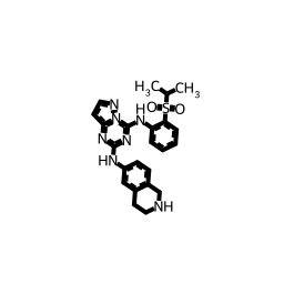 CC(C)S(=O)(=O)c1ccccc1Nc1nc(Nc2ccc3c(c2)CCNC3)nc2ccnn12